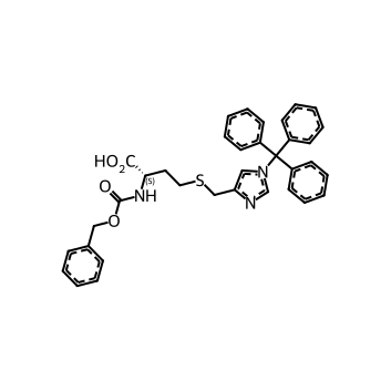 O=C(N[C@@H](CCSCc1cn(C(c2ccccc2)(c2ccccc2)c2ccccc2)cn1)C(=O)O)OCc1ccccc1